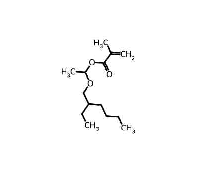 C=C(C)C(=O)OC(C)OCC(CC)CCCC